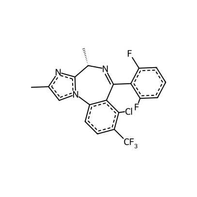 Cc1cn2c(n1)[C@H](C)N=C(c1c(F)cccc1F)c1c-2ccc(C(F)(F)F)c1Cl